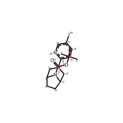 CC(C)(C)OC(=O)N1C2CCC1CN(c1ccc(I)cn1)C2